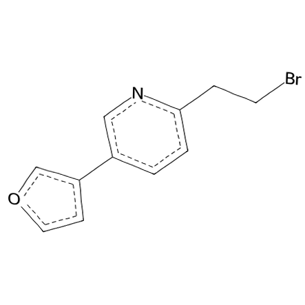 BrCCc1ccc(-c2ccoc2)cn1